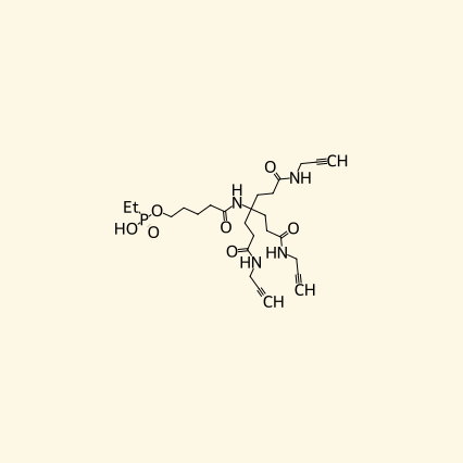 C#CCNC(=O)CCC(CCC(=O)NCC#C)(CCC(=O)NCC#C)NC(=O)CCCCOP(=O)(O)CC